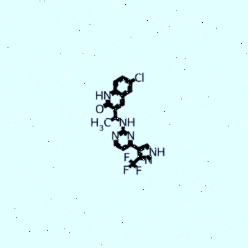 CC(Nc1nccc(-c2c[nH]nc2C(F)(F)F)n1)c1cc2cc(Cl)ccc2[nH]c1=O